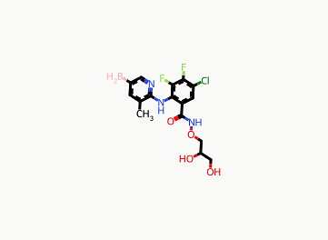 Bc1cnc(Nc2c(C(=O)NOCC(O)CO)cc(Cl)c(F)c2F)c(C)c1